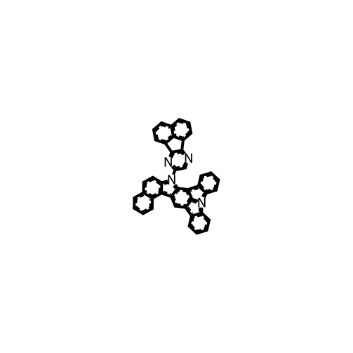 c1cc2c3c(cccc3c1)-c1nc(-n3c4ccc5ccccc5c4c4cc5c6ccccc6n6c7ccccc7c(c43)c56)cnc1-2